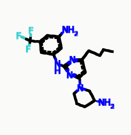 CCCCc1cc(N2CCC[C@@H](N)C2)nc(Nc2cc(N)cc(C(F)(F)F)c2)n1